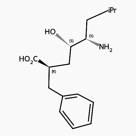 CC(C)C[C@H](N)[C@@H](O)C[C@@H](Cc1ccccc1)C(=O)O